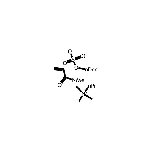 C=CC(=O)NC.CCCCCCCCCCOS(=O)(=O)[O-].CCC[N+](C)(C)C